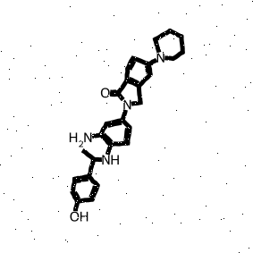 CC(Nc1ccc(N2Cc3cc(N4CCCCC4)ccc3C2=O)cc1N)c1ccc(O)cc1